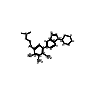 CN(C)CCOc1cc(-c2ccc3c(c2)ncn3C2CCCCC2)c([N+](=O)[O-])c(N)c1C#N